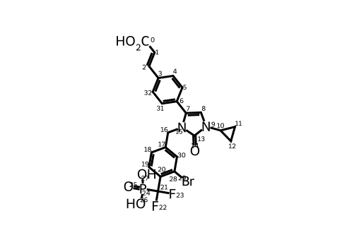 O=C(O)C=Cc1ccc(-c2cn(C3CC3)c(=O)n2Cc2ccc(C(F)(F)P(=O)(O)O)c(Br)c2)cc1